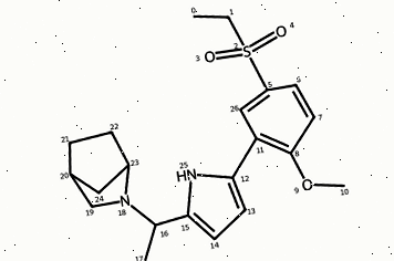 CCS(=O)(=O)c1ccc(OC)c(-c2ccc(C(C)N3CC4CCC3C4)[nH]2)c1